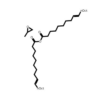 CC1CO1.CCCCCCCCC=CCCCCCCCC(=O)OC(=O)CCCCCCCC=CCCCCCCCC